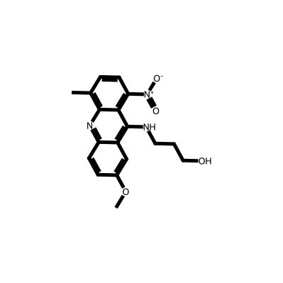 COc1ccc2nc3c(C)ccc([N+](=O)[O-])c3c(NCCCO)c2c1